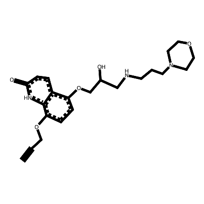 C#CCOc1ccc(OCC(O)CNCCCN2CCOCC2)c2ccc(=O)[nH]c12